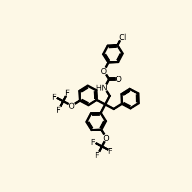 O=C(NCC(Cc1ccccc1)(c1cccc(OC(F)(F)F)c1)c1cccc(OC(F)(F)F)c1)Oc1ccc(Cl)cc1